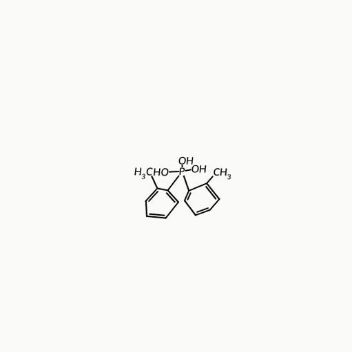 Cc1ccccc1P(O)(O)(O)c1ccccc1C